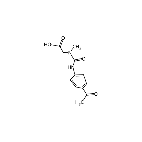 CC(=O)c1ccc(NC(=O)N(C)CC(=O)O)cc1